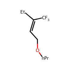 [CH2]CCOCC=C(CC)C(F)(F)F